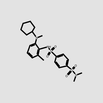 Cc1cccc(N(C)C2CCCCC2)c1NS(=O)(=O)c1ccc(S(=O)(=O)N(C)C)cc1